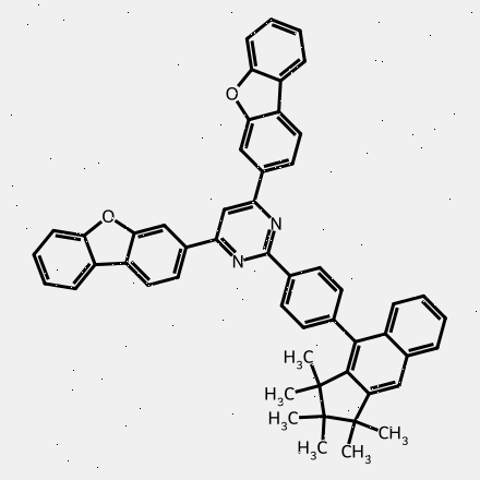 CC1(C)c2cc3ccccc3c(-c3ccc(-c4nc(-c5ccc6c(c5)oc5ccccc56)cc(-c5ccc6c(c5)oc5ccccc56)n4)cc3)c2C(C)(C)C1(C)C